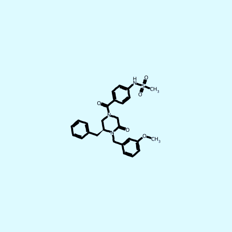 COc1cccc(CN2C(=O)CN(C(=O)c3ccc(NS(C)(=O)=O)cc3)C[C@@H]2Cc2ccccc2)c1